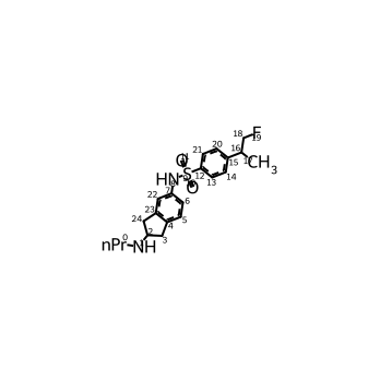 CCCNC1Cc2ccc(NS(=O)(=O)c3ccc(C(C)CF)cc3)cc2C1